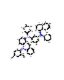 Cc1ccc(N2c3ccccc3B3c4ccc(N(c5ccccc5)c5cccc6ccccc56)cc4N(c4ccccc4)c4cccc2c43)c(C)c1